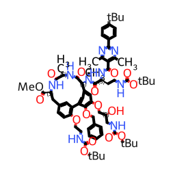 COC(=O)[C@@H]1Cc2ccc(OCCNC(=O)OC(C)(C)C)c(c2)-c2cc(cc(OC[C@H](O)CNC(=O)OC(C)(C)C)c2OCc2ccccc2)[C@H](N(C)C(=O)[C@H](CCNC(=O)OC(C)(C)C)NC(=O)c2c(C)nc(-c3ccc(C(C)(C)C)cc3)nc2C)C(=O)N[C@@H](C)C(=O)N1